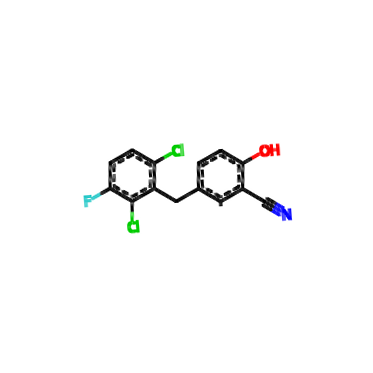 N#Cc1[c]c(Cc2c(Cl)ccc(F)c2Cl)ccc1O